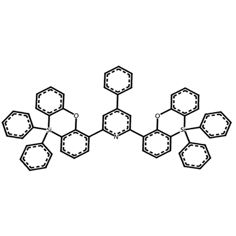 c1ccc(-c2cc(-c3cccc4c3Oc3ccccc3[Si]4(c3ccccc3)c3ccccc3)nc(-c3cccc4c3Oc3ccccc3[Si]4(c3ccccc3)c3ccccc3)c2)cc1